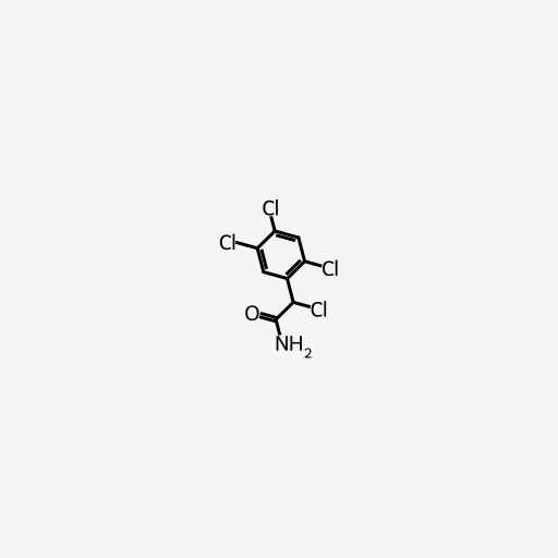 NC(=O)C(Cl)c1cc(Cl)c(Cl)cc1Cl